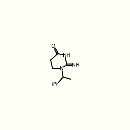 CC(C)C(C)N1CCC(=O)NC1=N